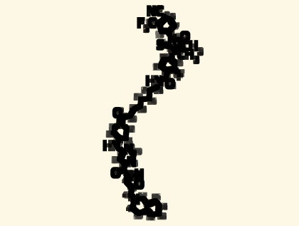 CC1(C)C(=O)N(c2ccc(C#N)c(C(F)(F)F)c2)C(=S)N1c1ccc(C(=O)NCCCCCCCC(=O)N2CCC(Nc3cc(C(=O)NC[C@H](O)CN4CCc5ccccc5C4)ncn3)CC2)c(F)c1